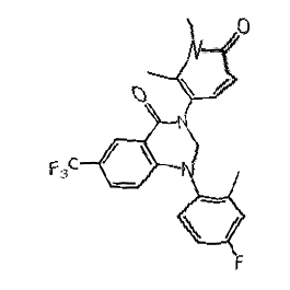 Cc1cc(F)ccc1N1CN(c2ccc(=O)n(C)c2C)C(=O)c2cc(C(F)(F)F)ccc21